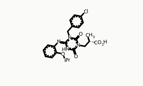 CC(C)Oc1ccccc1/N=c1\[nH]c(=O)n(C[C@H](C)C(=O)O)c(=O)n1Cc1ccc(Cl)cc1